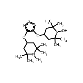 CN1C(C)(C)CC(Oc2nsnc2OC2CC(C)(C)N(O)C(C)(C)C2)CC1(C)C